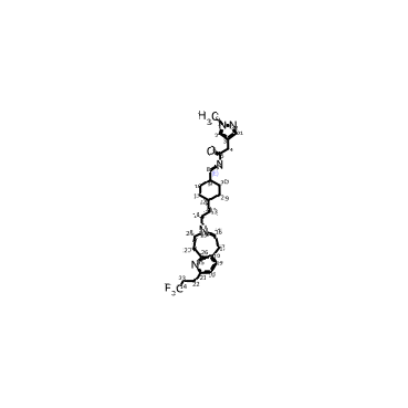 Cn1cc(CC(=O)/N=C/C2CCC(CCN3CCc4ccc(CCC(F)(F)F)nc4CC3)CC2)cn1